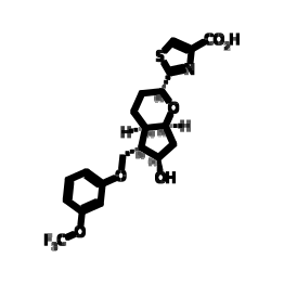 O=C(O)c1csc([C@H]2CC[C@@H]3[C@@H](COc4cccc(OC(F)(F)F)c4)[C@H](O)C[C@@H]3O2)n1